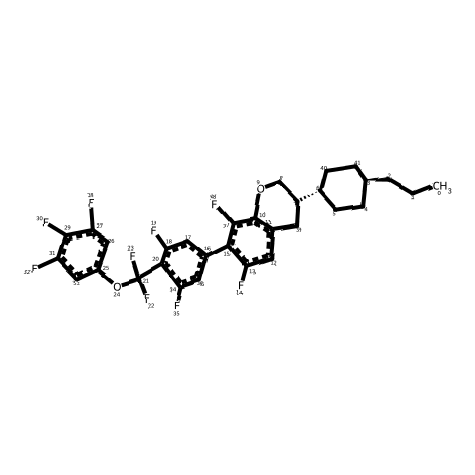 CCC[C@H]1CC[C@H](C2COc3c(cc(F)c(-c4cc(F)c(C(F)(F)Oc5cc(F)c(F)c(F)c5)c(F)c4)c3F)C2)CC1